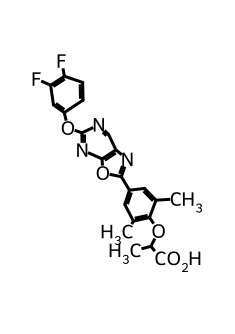 Cc1cc(-c2nc3cnc(Oc4ccc(F)c(F)c4)nc3o2)cc(C)c1OC(C)C(=O)O